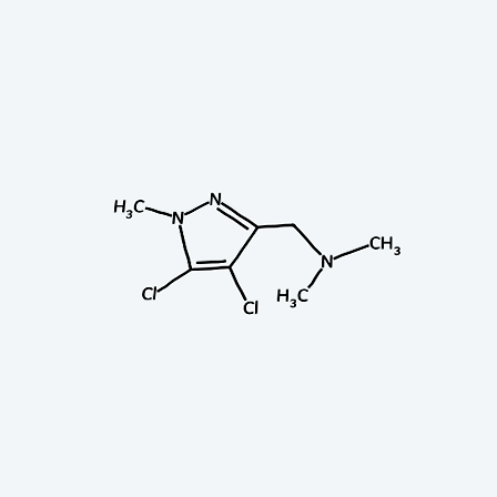 CN(C)Cc1nn(C)c(Cl)c1Cl